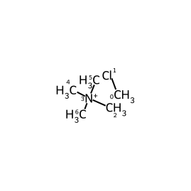 CCl.C[N+](C)(C)C